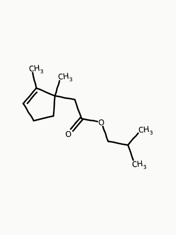 CC1=CCCC1(C)CC(=O)OCC(C)C